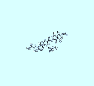 Nc1nc(=O)c2c([nH]1)NC[C@@H](CNc1ccc(C(=O)N[C@@H](CCC(=O)O)C(=O)O)cc1)N2.[CH2]C(F)(F)F